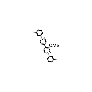 COc1c[n+](-c2cccc(C)c2)ccc1-c1cc[n+](-c2cccc(C)c2)cc1